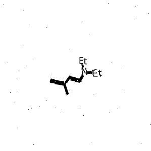 C=C(C)C=CN(CC)CC